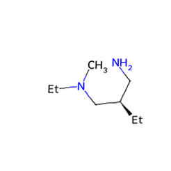 CC[C@H](CN)CN(C)CC